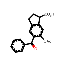 CC(=O)Oc1cc2c(cc1C(=O)c1ccccc1)CCC2C(=O)O